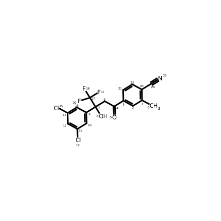 Cc1cc(C(=O)CC(O)(c2cc(Cl)cc(Cl)c2)C(F)(F)F)ccc1C#N